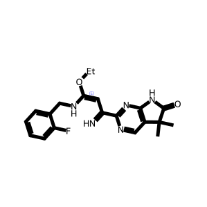 CCO/C(=C/C(=N)c1ncc2c(n1)NC(=O)C2(C)C)NCc1ccccc1F